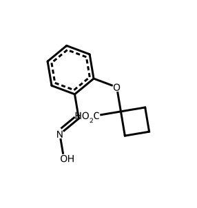 O=C(O)C1(Oc2ccccc2C=NO)CCC1